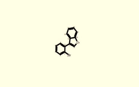 Brc1ccccc1-c1coc2ccccc12